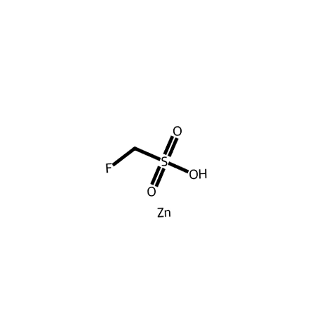 O=S(=O)(O)CF.[Zn]